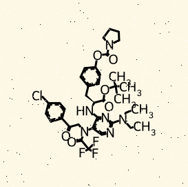 CCN(CC)c1ncc(N(CC(=O)c2ccc(Cl)cc2)C(=O)C(F)(F)F)c(N[C@@H](Cc2ccc(OC(=O)N3CCCC3)cc2)C(=O)OC(C)(C)C)n1